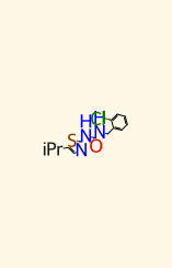 CC(C)c1cnc(NC(=O)NCc2ccccc2Cl)s1